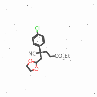 CCOC(=O)CCC(C#N)(CC1OCCO1)c1ccc(Cl)cc1